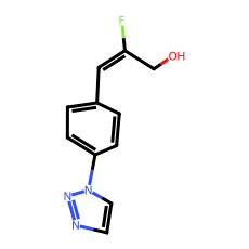 OC/C(F)=C\c1ccc(-n2ccnn2)cc1